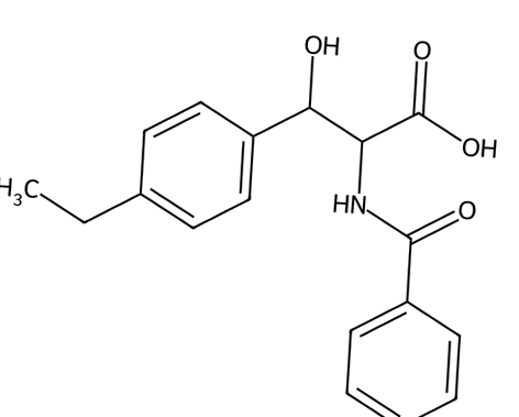 CCc1ccc(C(O)C(NC(=O)c2ccccc2)C(=O)O)cc1